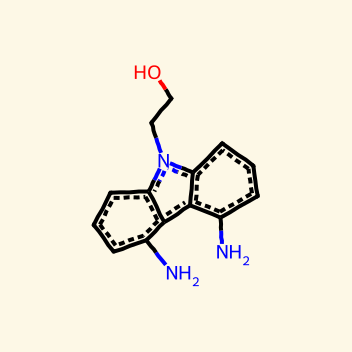 Nc1cccc2c1c1c(N)cccc1n2CCO